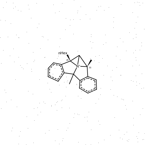 CCCCCC[C@@]12c3ccccc3C3(C)c4ccccc4[C@@]4(C)C1[N+]342